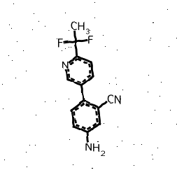 CC(F)(F)c1ccc(-c2ccc(N)cc2C#N)cn1